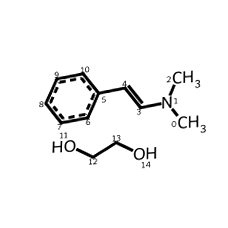 CN(C)C=Cc1ccccc1.OCCO